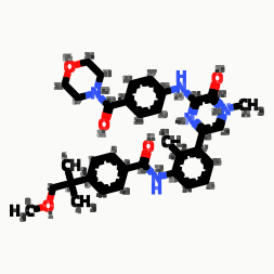 COCC(C)(C)c1ccc(C(=O)Nc2cccc(-c3cn(C)c(=O)c(Nc4ccc(C(=O)N5CCOCC5)cc4)n3)c2C)cc1